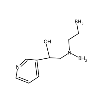 BCCN(B)CC(O)c1cccnc1